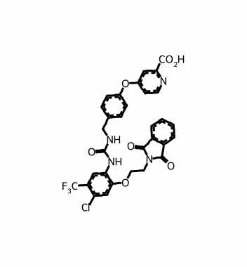 O=C(NCc1ccc(Oc2ccnc(C(=O)O)c2)cc1)Nc1cc(C(F)(F)F)c(Cl)cc1OCCN1C(=O)c2ccccc2C1=O